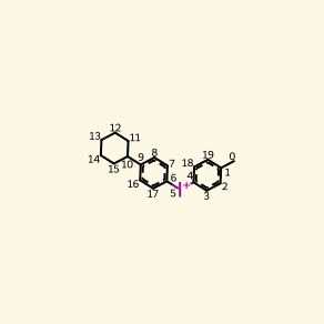 Cc1ccc([I+]c2ccc(C3CCCCC3)cc2)cc1